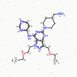 NCC1CCN(c2nc(Nc3ccncn3)c3c(n2)c(COCC(F)(F)F)nn3CCOCC(F)(F)F)CC1